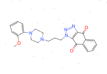 COc1ccccc1N1CCN(CCCn2nnc3c2C(=O)c2ccccc2C3=O)CC1